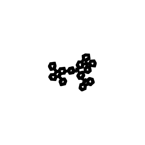 c1ccc(-c2c3ccccc3c(-c3ccccc3)c3cc(-c4ccc(N(c5ccc(-n6c7ccccc7c7ccccc76)cc5)c5ccc6c(c5)C(c5ccccc5)(c5ccccc5)c5ccccc5-6)cc4)ccc23)cc1